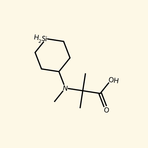 CN(C1CC[SiH2]CC1)C(C)(C)C(=O)O